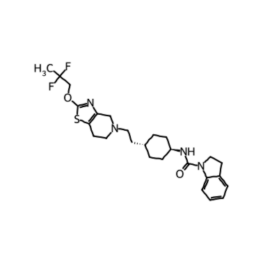 CC(F)(F)COc1nc2c(s1)CCN(CC[C@H]1CC[C@H](NC(=O)N3CCc4ccccc43)CC1)C2